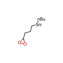 CCC[CH2][Sn][CH2]CCC1OO1